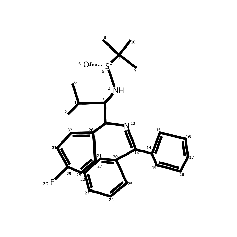 CC(C)C(N[S@+]([O-])C(C)(C)C)C(N=C(c1ccccc1)c1ccccc1)c1ccc(F)cc1